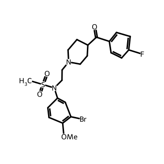 COc1ccc(N(CCN2CCC(C(=O)c3ccc(F)cc3)CC2)S(C)(=O)=O)cc1Br